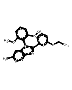 Bc1cc2c(nn1)nc(-c1cccc(OCC)n1)n2-c1c(OC)cccc1OC